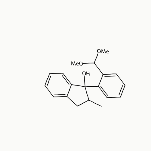 COC(OC)c1ccccc1C1(O)c2ccccc2CC1C